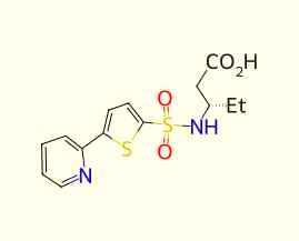 CC[C@@H](CC(=O)O)NS(=O)(=O)c1ccc(-c2ccccn2)s1